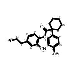 CCCc1ccc(C2(C(=O)Oc3ccc(CCC(C)C)cc3C#N)CCCCC2)cc1